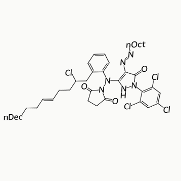 CCCCCCCCCCCCC=CCCC(Cl)Cc1ccccc1N(c1[nH]n(-c2c(Cl)cc(Cl)cc2Cl)c(=O)c1N=NCCCCCCCC)N1C(=O)CCC1=O